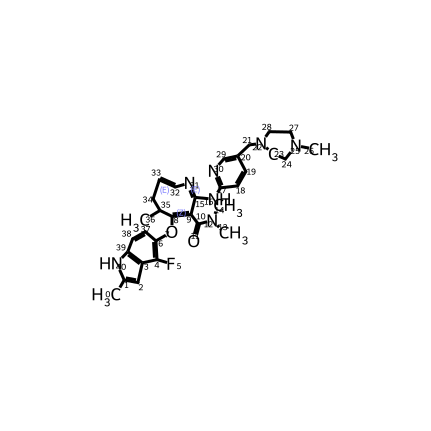 Cc1cc2c(F)c(O/C3=C(C(=O)N(C)C)/C(Nc4ccc(CN5CCN(C)CC5)cn4)=N\C=C\CC3C)ccc2[nH]1